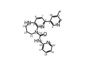 Cc1cncc(-c2ccc3c(n2)N(C(=O)Nc2ccccn2)CCCN3)c1